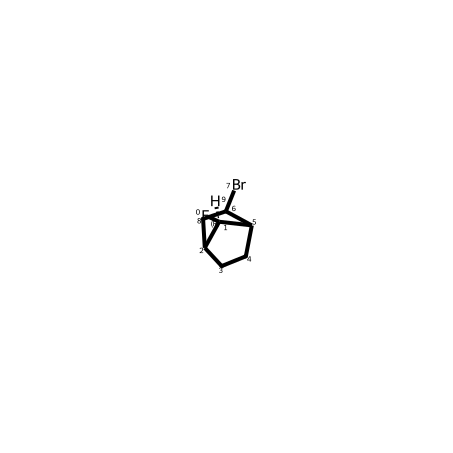 F[C@@H]1C2CCC1C(Br)C2